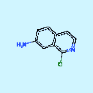 Nc1ccc2ccnc(Cl)c2c1